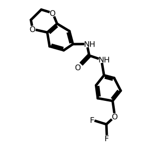 O=C(Nc1ccc(OC(F)F)cc1)Nc1ccc2c(c1)OCCO2